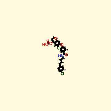 O=C(O)OC1CCOc2cc(Oc3ccc(C(=O)NCCCCc4ccc(Cl)cc4)cc3)c(Cl)cc21